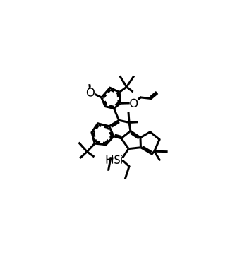 C=CCOc1c(C2=c3ccc(C(C)(C)C)cc3=C3C(=C4CCC(C)(C)C=C4C3[SiH](CC)CC)C2(C)C)cc(OC)cc1C(C)(C)C